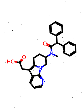 CN(C(=O)C(c1ccccc1)c1ccccc1)C1CCc2c(CC(=O)O)c3cccnc3n2C1